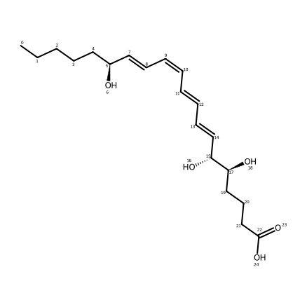 CCCCC[C@H](O)/C=C/C=C\C=CC=C[C@@H](O)[C@@H](O)CCCC(=O)O